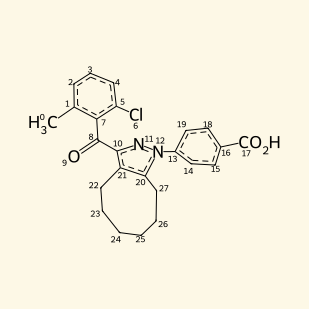 Cc1cccc(Cl)c1C(=O)c1nn(-c2ccc(C(=O)O)cc2)c2c1CCCCCC2